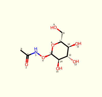 CC(=O)NO[C@H]1O[C@H](CO)[C@@H](O)[C@H](O)[C@H]1O